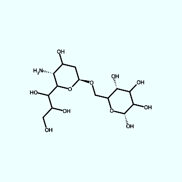 N[C@@H]1C(O)C[C@@H](OCC2O[C@@H](O)C(O)C(O)[C@H]2O)OC1C(O)C(O)CO